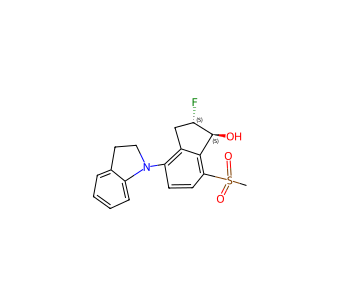 CS(=O)(=O)c1ccc(N2CCc3ccccc32)c2c1[C@H](O)[C@@H](F)C2